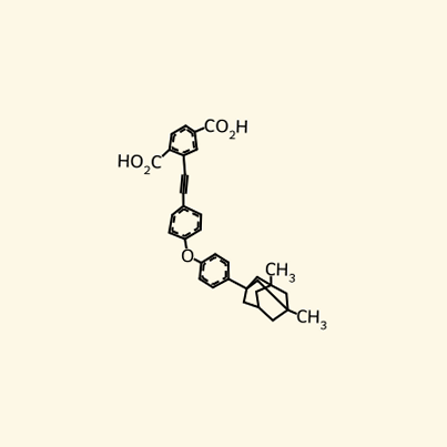 CC12CC3CC(C)(C1)CC(c1ccc(Oc4ccc(C#Cc5cc(C(=O)O)ccc5C(=O)O)cc4)cc1)(C3)C2